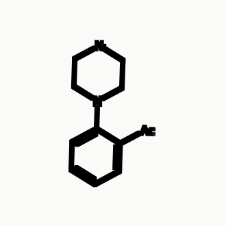 CC(=O)c1ccccc1N1CC[N]CC1